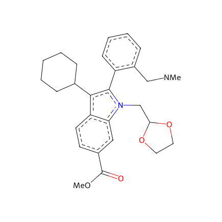 CNCc1ccccc1-c1c(C2CCCCC2)c2ccc(C(=O)OC)cc2n1CC1OCCO1